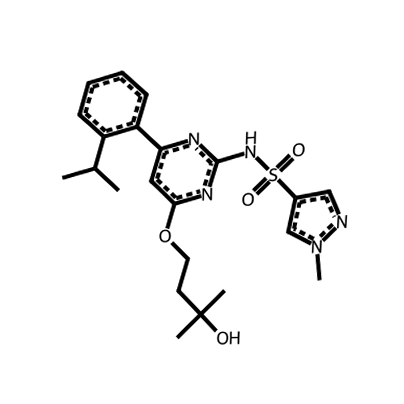 CC(C)c1ccccc1-c1cc(OCCC(C)(C)O)nc(NS(=O)(=O)c2cnn(C)c2)n1